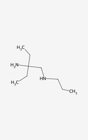 CCCNCC(N)(CC)CC